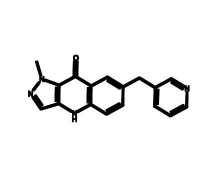 Cn1ncc2[nH]c3ccc(Cc4cccnc4)cc3c(=O)c21